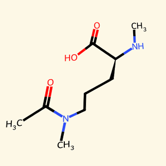 CN[C@@H](CCCN(C)C(C)=O)C(=O)O